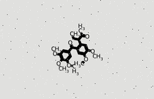 CCC(C(C)=O)c1cc(OC)c(OC)cc1C(=O)c1cc(OC)c(OC)c(OC)c1